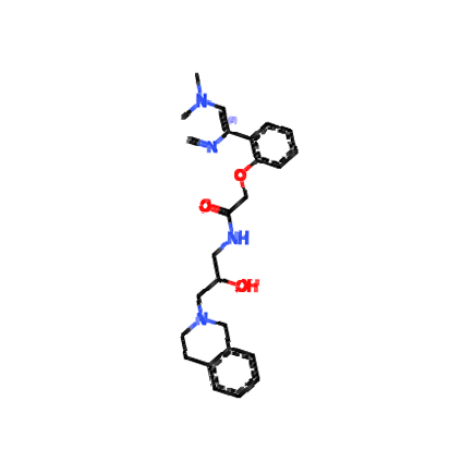 C=N/C(=C\N(C)C)c1ccccc1OCC(=O)NCC(O)CN1CCc2ccccc2C1